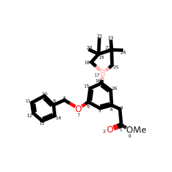 COC(=O)Cc1cc(OCc2ccccc2)cc(B2CC(C)(C)C(C)(C)C2)c1